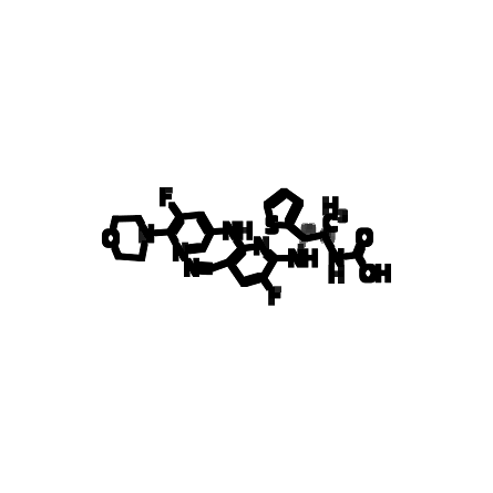 C[C@H](NC(=O)O)[C@H](Nc1nc(Nc2cnc(N3CCOCC3)c(F)c2)c(C#N)cc1F)c1cccs1